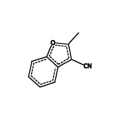 Cc1oc2ccccc2c1C#N